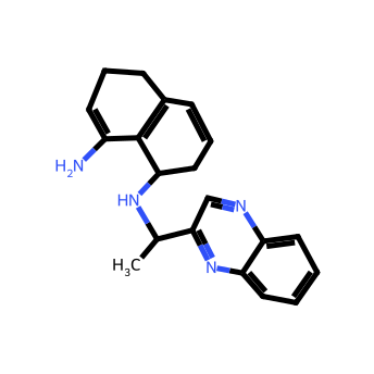 CC(NC1CC=CC2=C1C(N)=CCC2)c1cnc2ccccc2n1